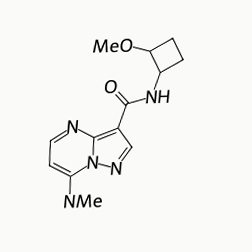 CNc1ccnc2c(C(=O)NC3CCC3OC)cnn12